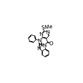 CSc1ncc(C(=O)n2nnc3ccccc32)c(Nc2ccccc2)n1